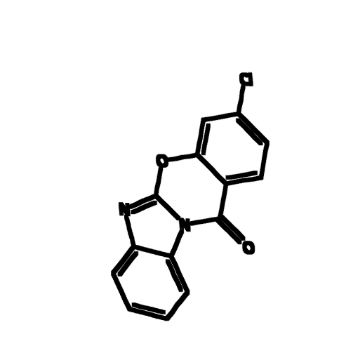 O=c1c2ccc(Cl)cc2oc2nc3ccccc3n12